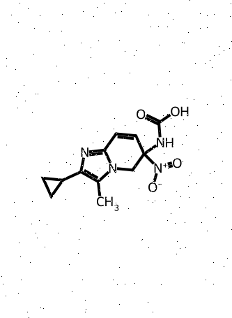 Cc1c(C2CC2)nc2n1CC(NC(=O)O)([N+](=O)[O-])C=C2